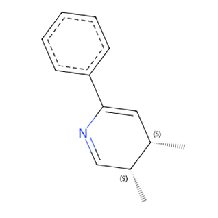 C[C@@H]1C=NC(c2ccccc2)=C[C@@H]1C